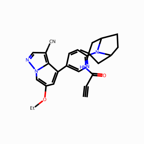 C#CC(=O)NC1(C)CC2CCC(C1)N2c1ccc(-c2cc(OCC)cn3ncc(C#N)c23)cn1